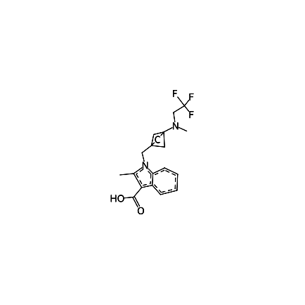 Cc1c(C(=O)O)c2ccccc2n1CC12CC(N(C)CC(F)(F)F)(C1)C2